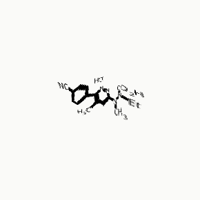 CCN(C(=O)O)N(C)c1cc(C)c(-c2ccc(C#N)cc2)nn1.Cl